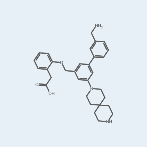 NCc1cccc(-c2cc(COc3ccccc3CC(=O)O)cc(N3CCC4(CCNCC4)CC3)c2)c1